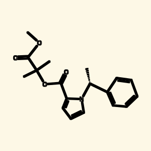 COC(=O)C(C)(C)OC(=O)c1cccn1[C@H](C)c1ccccc1